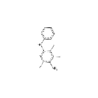 Cc1nc(Nc2ccccc2)c(C)c(C)c1N